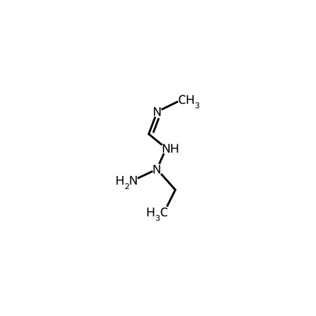 CCN(N)N/C=N\C